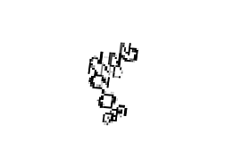 CS(=O)(=O)c1ccc(-c2ccc3c(n2)N(C(=O)Nc2ccccn2)C2CCN32)cc1